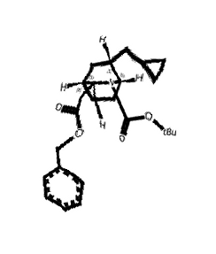 CC(C)(C)OC(=O)N1[C@H](C(=O)OCc2ccccc2)[C@@H]2CC[C@H]1[C@@H](CC1CC1)C2